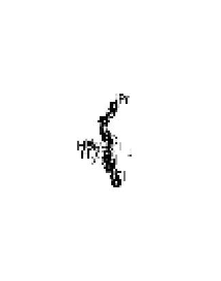 Br.C/C(C(=O)N1CCN(Cc2ccc(COc3ccc(C(C)C)cc3)cc2)CC1)=C(/C)c1cc(C)c(Oc2ccc(OCc3ccccc3Cl)cn2)c(Cl)c1